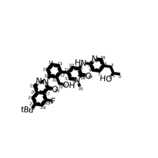 CC(O)Cc1ccc(Nc2cc(-c3cccc(-n4ncc5cc(C(C)(C)C)cc(F)c5c4=O)c3CO)cn(C)c2=O)nc1